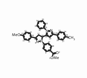 COC(=O)c1ccc(N2N=C(c3ccc(OC)cc3)CC2c2cc(-c3ccc(C)cc3)nn2-c2ccccc2)cc1